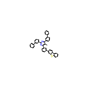 Cc1c(-c2cccc(C3=CC4Sc5ccccc5C4C=C3)c2)nc(-c2cccc(-c3ccccc3)c2)nc1-c1cccc(-c2ccccc2)c1